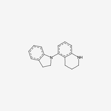 c1ccc2c(c1)CCN2c1cccc2c1CCCN2